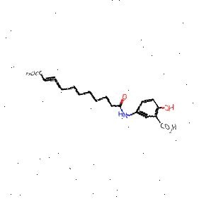 CCCCCCCC/C=C/CCCCCCCC(=O)Nc1ccc(O)c(C(=O)O)c1